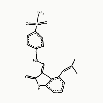 CC(C)=Cc1cccc2c1/C(=N/Nc1ccc(S(N)(=O)=O)cc1)C(=O)N2